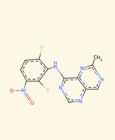 Cc1ncc2ncnc(Nc3c(F)ccc([N+](=O)[O-])c3F)c2n1